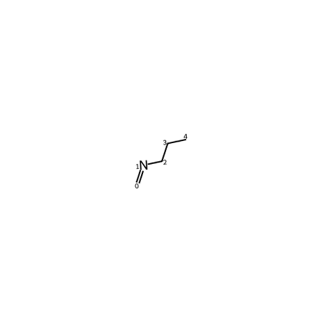 C=NCCC